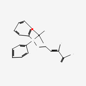 CC(C)(C)[Si](OC/C=C(\Br)C(=O)O)(c1ccccc1)c1ccccc1